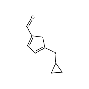 O=CC1=CC=C(SC2CC2)C1